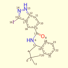 CC(C)(C)CC(NC(=O)c1ccc2[nH]nc(I)c2c1)c1ccccc1